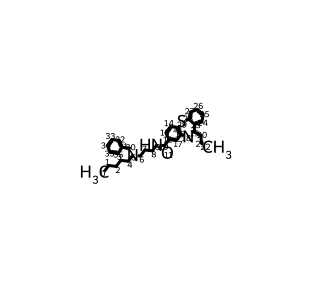 CCCCCN(CCCNC(=O)c1ccc2c(c1)N=C(CCC)c1ccccc1S2)Cc1ccccc1